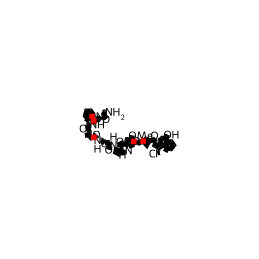 COc1cc2c(cc1OCC13CC(C(=O)N4C[C@@H](CCl)c5c4cc(O)c4cccc(C)c54)(C1)C3)N=C[C@@H]1CCC(NC(=O)COCNC(=O)CC(C)CC(=O)[C@H](Cc3ccccc3)NC(=O)CNC(=O)CN)N1C2=O